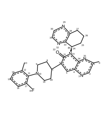 Cc1cnc2cc(C3CCN(c4c(C)cccc4F)CC3)c(=O)n([C@@H]3CCCc4nccnc43)c2n1